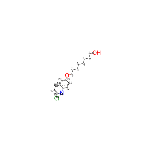 OCCCCCCCCOc1ccc2nc(Cl)ccc2c1